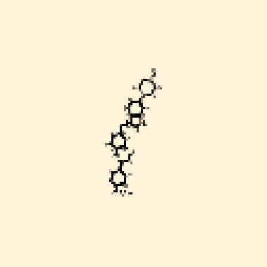 COc1ccc(C2COc3cc(Cn4cnc5cc(N6CCN(C)CC6)cnc54)ccc3O2)cc1